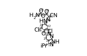 CC(C)c1n[nH]c2nnc(Oc3c(Cl)cc(NN=C(C#N)C(=O)OC(N)=O)cc3Cl)cc12